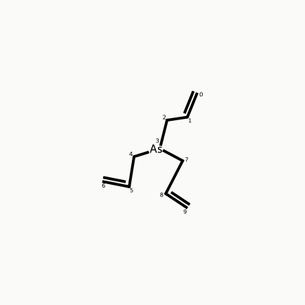 C=CC[As](CC=C)CC=C